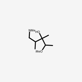 CNCC(C)C(C)(O)C(C)OC